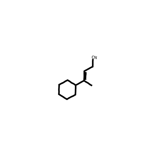 CC(=CCC#N)C1CCCCC1